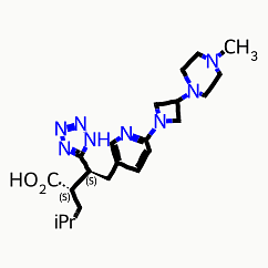 CC(C)C[C@H](C(=O)O)[C@H](Cc1ccc(N2CC(N3CCN(C)CC3)C2)nc1)c1nnn[nH]1